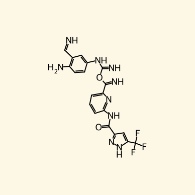 N=Cc1cc(NC(=N)OC(=N)c2cccc(NC(=O)c3cc(C(F)(F)F)[nH]n3)n2)ccc1N